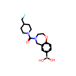 O=C(N1CCC(CF)CC1)N1CCOc2ccc(B(O)O)cc2C1